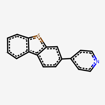 [c]1ccc2sc3cc(-c4ccncc4)ccc3c2c1